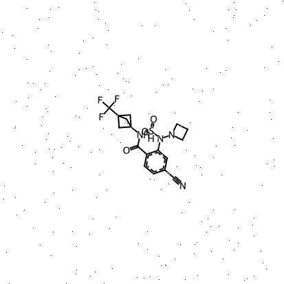 N#Cc1ccc(C(=O)NC23CC(C(F)(F)F)(C2)C3)c(N(N2CCC2)[SH](=O)=O)c1